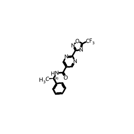 C[C@@H](NC(=O)c1cnc(-c2noc(C(F)(F)F)n2)nc1)c1ccccc1